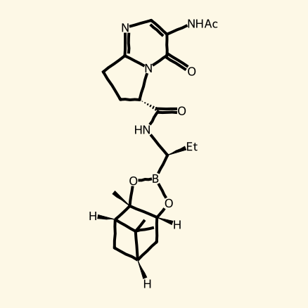 CC[C@H](NC(=O)[C@@H]1CCc2ncc(NC(C)=O)c(=O)n21)B1O[C@@H]2C[C@@H]3C[C@@H](C3(C)C)[C@]2(C)O1